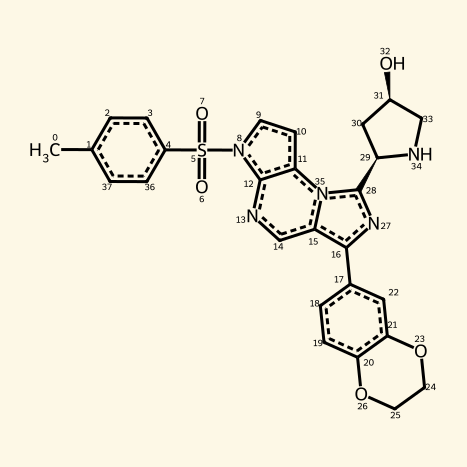 Cc1ccc(S(=O)(=O)n2ccc3c2ncc2c(-c4ccc5c(c4)OCCO5)nc([C@H]4C[C@@H](O)CN4)n23)cc1